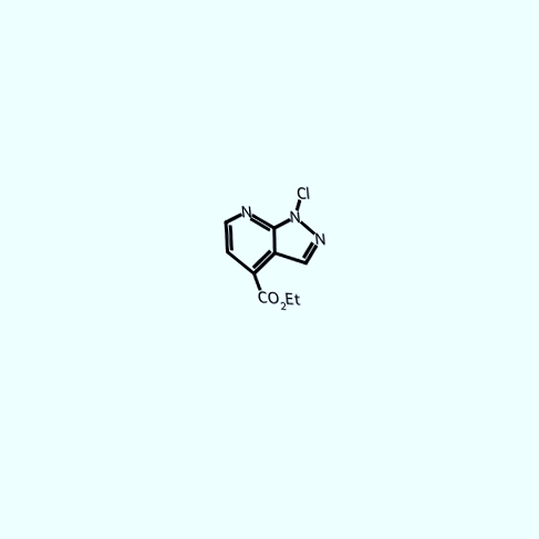 CCOC(=O)c1ccnc2c1cnn2Cl